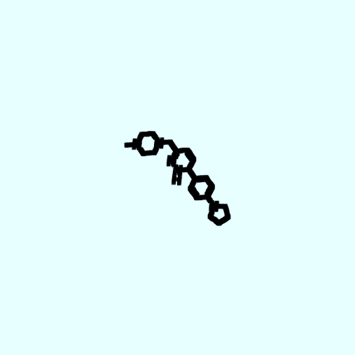 CN1CCN(CC2=NNC(c3ccc(N4CCCC4)cc3)C=C2)CC1